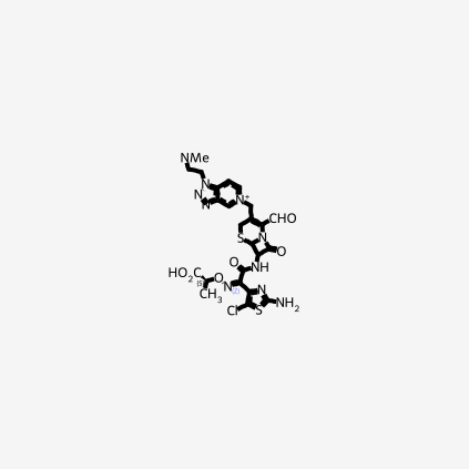 CNCCn1nnc2c[n+](CC3=C(C=O)N4C(=O)C(NC(=O)/C(=N\O[C@@H](C)C(=O)O)c5nc(N)sc5Cl)C4SC3)ccc21